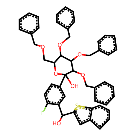 OC(c1cc2ccccc2s1)c1cc(C2(O)OC(COCc3ccccc3)C(OCc3ccccc3)C(OCc3ccccc3)C2OCc2ccccc2)ccc1F